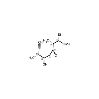 C#C[C@@H](C)[C@@H](O)[C@H]1O[C@@H]1[C@H](C)[C@H](CC)OC